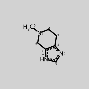 CN1[CH]Cc2nc[nH]c2C1